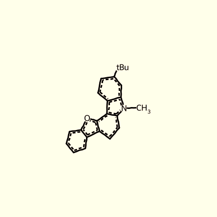 Cn1c2cc(C(C)(C)C)ccc2c2c3oc4ccccc4c3ccc21